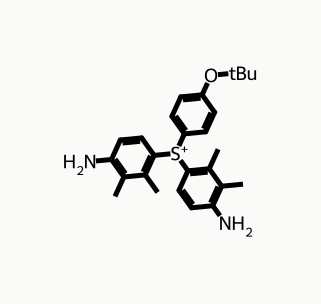 Cc1c(N)ccc([S+](c2ccc(OC(C)(C)C)cc2)c2ccc(N)c(C)c2C)c1C